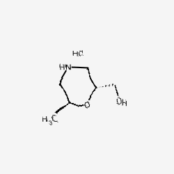 C[C@H]1CNC[C@H](CO)O1.Cl